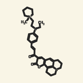 CCN(CC[N+]1(C)CCCCC1)c1ccc(C=CC(=O)c2cc3cc4c5c(c3oc2=O)CCCN5CCC4)cc1